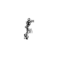 O=c1c(S(=O)(=O)N2CCC3(CC2)C[C@@H](NCC(O)COc2cccc(S(=O)(=O)C4CC4)c2)CO3)c[nH]c2ccccc12